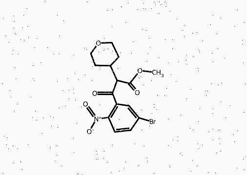 COC(=O)C(C(=O)c1cc(Br)ccc1[N+](=O)[O-])C1CCOCC1